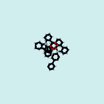 c1ccc(-c2ccc(N(c3ccc(-c4ccccc4-n4c5ccccc5c5ccccc54)cc3)c3ccccc3-c3cccc4cc5oc6ccccc6c5cc34)cc2)cc1